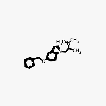 CC(Cn1ccc2cc(OCc3ccccc3)ccc21)N(C)C